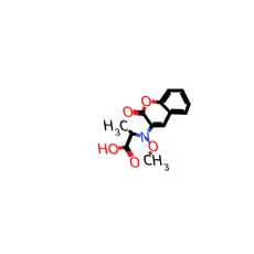 CON(c1cc2ccccc2oc1=O)C(C)C(=O)O